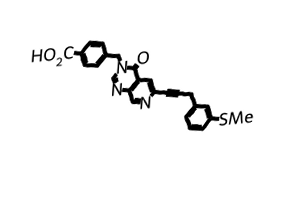 CSc1cccc(CC#Cc2cc3c(=O)n(Cc4ccc(C(=O)O)cc4)cnc3cn2)c1